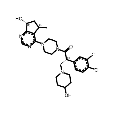 C[C@@H]1C[C@@H](O)c2ncnc(N3CCN(C(=O)[C@@H](CN4CCC(O)CC4)c4ccc(Cl)c(Cl)c4)CC3)c21